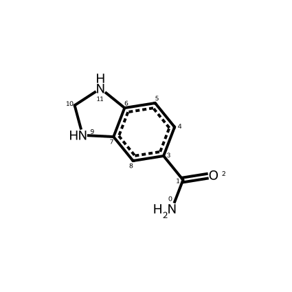 NC(=O)c1ccc2c(c1)NCN2